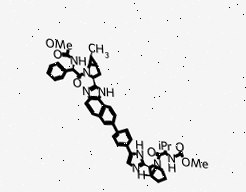 COC(=O)NC(C(=O)N1C2CC[C@@H](C2)[C@H]1c1ncc(-c2ccc(-c3ccc4c(ccc5nc([C@@H]6CC7C([C@@H]7C)N6C(=O)[C@H](NC(=O)OC)c6ccccc6)[nH]c54)c3)cc2)[nH]1)C(C)C